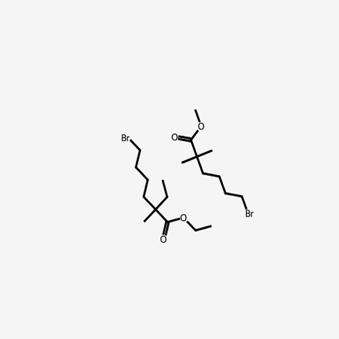 CCOC(=O)C(C)(CC)CCCCBr.COC(=O)C(C)(C)CCCCBr